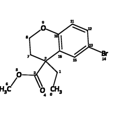 CCC1(C(=O)OC)CCOc2ccc(Br)cc21